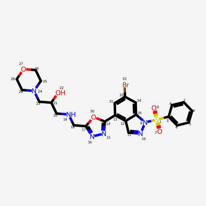 O=S(=O)(c1ccccc1)n1ncc2c(-c3nnc(CNCC(O)CN4CCOCC4)o3)cc(Br)cc21